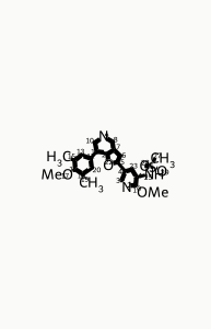 COc1ncc(-c2cc3cncc(-c4cc(C)c(OC)c(C)c4)c3o2)cc1NS(C)(=O)=O